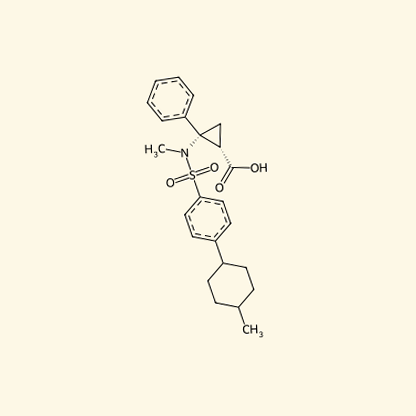 CC1CCC(c2ccc(S(=O)(=O)N(C)[C@]3(c4ccccc4)C[C@@H]3C(=O)O)cc2)CC1